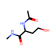 CNC(=O)C(CCO)NC(C)=O